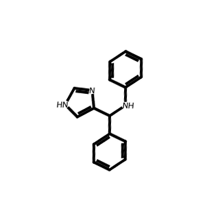 c1ccc(NC(c2ccccc2)c2c[nH]cn2)cc1